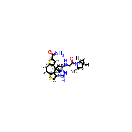 N#C[C@@H]1C[C@@H]2C[C@@H]2N1C(=O)CNCCC1(c2nn[nH]n2)c2ccsc2CCc2sc(C(N)=O)cc21